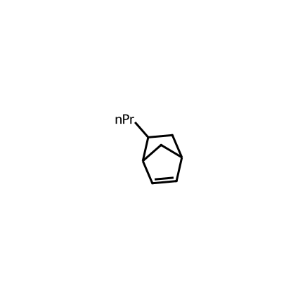 CCCC1CC2C=CC1C2